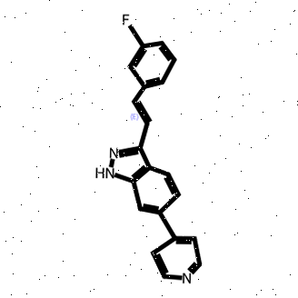 Fc1cccc(/C=C/c2n[nH]c3cc(-c4ccncc4)ccc23)c1